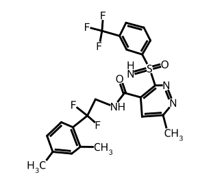 Cc1ccc(C(F)(F)CNC(=O)c2cc(C)nnc2S(=N)(=O)c2cccc(C(F)(F)F)c2)c(C)c1